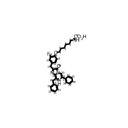 O=C(O)NCCCCCCOc1ccc(Cc2nc3c(Cc4ccccc4)[nH]c(-c4ccccc4)cn-3c2=O)cc1F